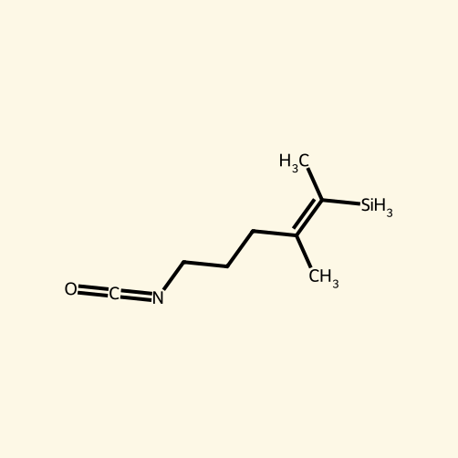 CC([SiH3])=C(C)CCCN=C=O